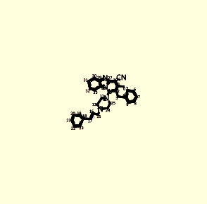 Cc1c(Cc2ccccc2)c(N2CCN(C/C=C/c3ccccc3)CC2)n2c(nc3ccccc32)c1C#N